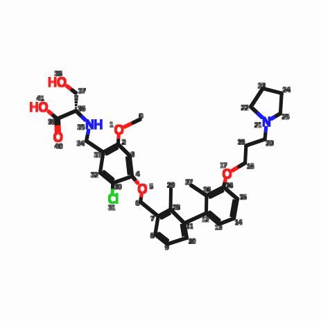 COc1cc(OCc2cccc(-c3cccc(OCCCN4CCCC4)c3C)c2C)c(Cl)cc1CN[C@@H](CO)C(=O)O